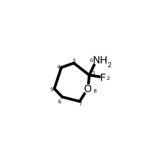 NC1(F)CCCCCO1